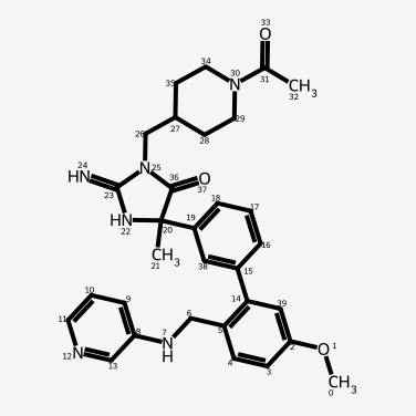 COc1ccc(CNc2cccnc2)c(-c2cccc(C3(C)NC(=N)N(CC4CCN(C(C)=O)CC4)C3=O)c2)c1